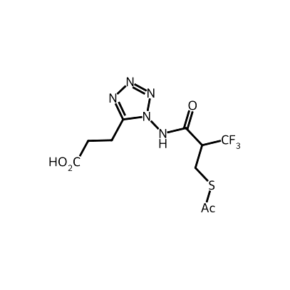 CC(=O)SCC(C(=O)Nn1nnnc1CCC(=O)O)C(F)(F)F